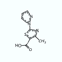 Cc1nc(-n2cccn2)sc1C(=O)O